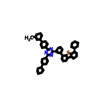 Cc1cccc(-c2ccc(-c3nc(-c4ccc(-c5ccccc5)cc4)nc(-c4cccc(-c5cccc6c5sc5c(-c7ccccc7)cccc56)c4)n3)cc2)c1